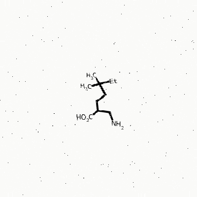 CCC(C)(C)CCC(CN)C(=O)O